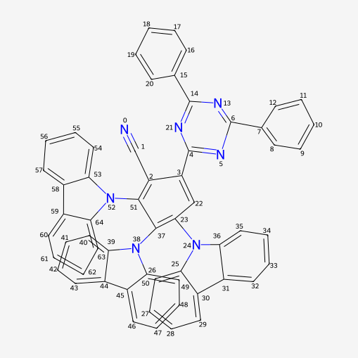 N#Cc1c(-c2nc(-c3ccccc3)nc(-c3ccccc3)n2)cc(-n2c3ccccc3c3ccccc32)c(-n2c3ccccc3c3ccccc32)c1-n1c2ccccc2c2ccccc21